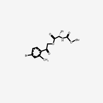 Cc1cc(Br)ccc1C(=O)COC(=O)[C@@H](NC(=O)OC(C)(C)C)C(C)C